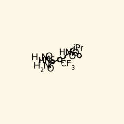 CC(C)C[C@H](NC/C=C/c1ccc(-c2cc(C(N)=O)c(NC(N)=O)s2)cc1C(F)(F)F)C(=O)OC1CCCC1